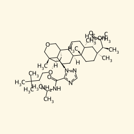 CC(C)NC(=O)c1ncnn1[C@@H]1C[C@@]23COC[C@](C)([C@@H]2CC[C@H]2C3=CC[C@@]3(C)[C@H](C(=O)O)[C@@](C)([C@H](C)C(C)C)CC[C@]23C)[C@H]1OC[C@H](N)C(C)(C)C